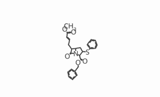 COC(=O)/C=C/CC1C(=O)N2C1CC(Sc1ccccc1)C2C(=O)OCc1ccccc1